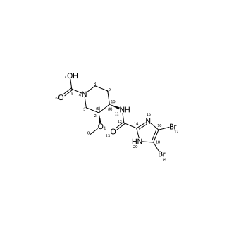 CO[C@H]1CN(C(=O)O)CC[C@H]1NC(=O)c1nc(Br)c(Br)[nH]1